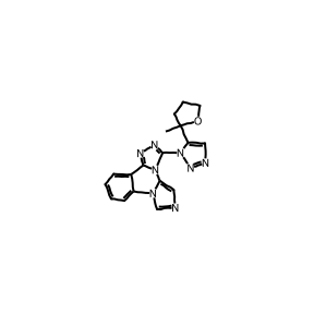 CC1(c2cnnn2-c2nnc3c4ccccc4n4cncc4n23)CCCO1